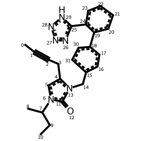 CC#CCc1cn(C(C)CC)c(=O)n1Cc1ccc(-c2ccccc2-c2nnn[nH]2)cc1